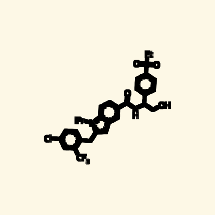 CCS(=O)(=O)c1ccc(C(CO)NC(=O)c2ccc3c(c2)cc(Cc2ccc(Cl)cc2C(F)(F)F)n3C(C)C)cc1